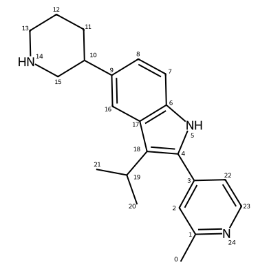 Cc1cc(-c2[nH]c3ccc(C4CCCNC4)cc3c2C(C)C)ccn1